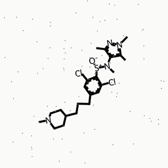 Cc1nn(C)c(C)c1N(C)[S+]([O-])c1c(Cl)cc(CCCC2CCN(C)CC2)cc1Cl